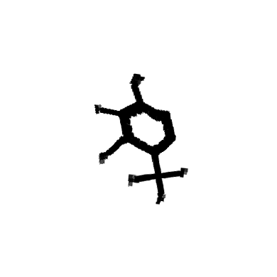 Fc1c(Br)ccc(C(F)(F)F)c1F